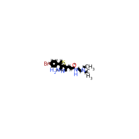 CCN(CC)CCNC(=O)C=Cc1cnc(N)c2c(-c3ccc(Br)cc3)csc12